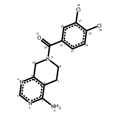 Nc1ncnc2c1CCN(C(=O)c1ccc(Cl)c(Cl)c1)C2